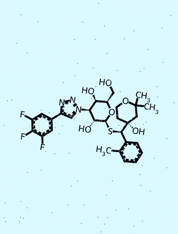 Cc1ccccc1[C@@H](S[C@@H]1O[C@H](CO)[C@H](O)[C@H](n2cc(-c3cc(F)c(F)c(F)c3)nn2)[C@H]1O)[C@@]1(O)CCOC(C)(C)C1